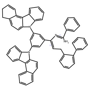 N/C(=N\C(=C/Cc1ccccc1-c1ccccc1)c1cc(-n2c3ccccc3c3c4c(ccc32)CCC=C4)cc(-n2c3ccccc3c3c4ccccc4ccc32)c1)c1ccccc1